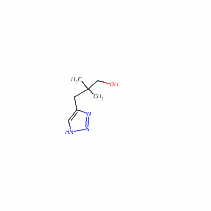 CC(C)(CO)Cc1c[nH]nn1